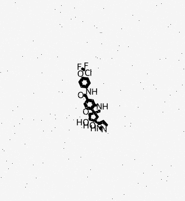 O=C(Nc1ccc(OC(F)(F)Cl)cc1)c1ccc2c(c1)NCC21CC(O)(c2ccn[nH]2)C(O)C1=O